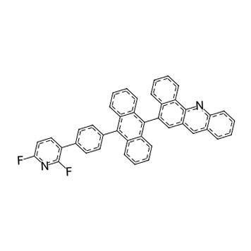 Fc1ccc(-c2ccc(-c3c4ccccc4c(-c4cc5cc6ccccc6nc5c5ccccc45)c4ccccc34)cc2)c(F)n1